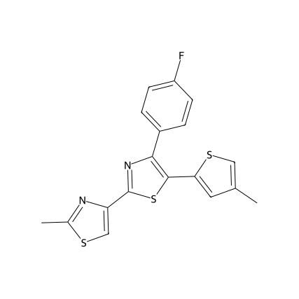 Cc1csc(-c2sc(-c3csc(C)n3)nc2-c2ccc(F)cc2)c1